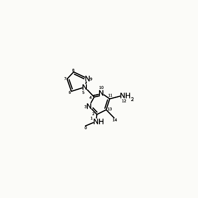 CNc1nc(-n2cccn2)nc(N)c1C